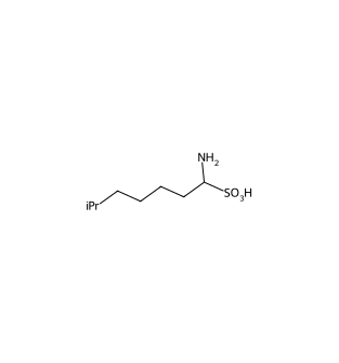 CC(C)CCCCC(N)S(=O)(=O)O